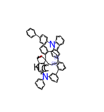 C=C1/C=C\C=C/Cc2ccccc2C12c1ccccc1-c1ccc(N(c3ccccc3)c3cccc(-c4cccc(-c5ccc6c(c5)c5ccccc5n6-c5ccc(-c6ccccc6)cc5)c4)c3)cc12